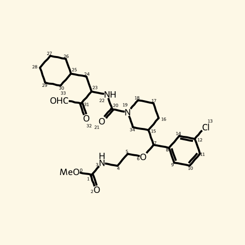 COC(=O)NCCOC(c1cccc(Cl)c1)C1CCCN(C(=O)NC(CC2CCCCC2)C(=O)C=O)C1